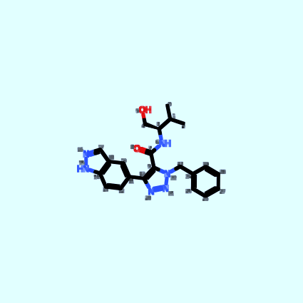 CC(C)[C@H](CO)NC(=O)c1c(-c2ccc3[nH]ncc3c2)nnn1Cc1ccccc1